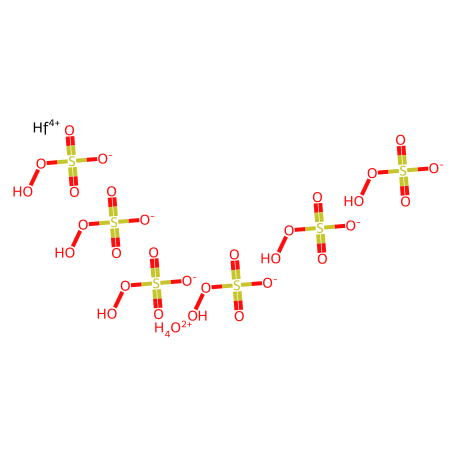 O=S(=O)([O-])OO.O=S(=O)([O-])OO.O=S(=O)([O-])OO.O=S(=O)([O-])OO.O=S(=O)([O-])OO.O=S(=O)([O-])OO.[Hf+4].[OH4+2]